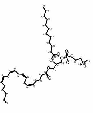 CCCCC/C=C\C/C=C\C/C=C\C/C=C\CCCC(=O)OC[C@H](COP(=O)([O-])OCC[N+](C)(C)C)OC(=O)CCCCCCCCCCC